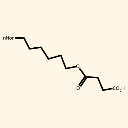 CCCCCCCCCCCCCCCOC(=O)CCC(=O)O